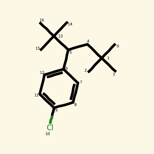 CC(C)(C)CC(c1ccc(Cl)cc1)C(C)(C)C